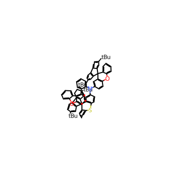 CC(C)(C)C1=CC2=C(CC1)c1ccc(C(C)(C)C)cc1C21c2ccccc2Sc2ccc(N(c3ccc4c(c3)C3(c5ccccc5O4)c4cc(C(C)(C)C)ccc4-c4ccc(C(C)(C)C)cc43)c3ccccc3-c3cccc4oc5ccccc5c34)cc21